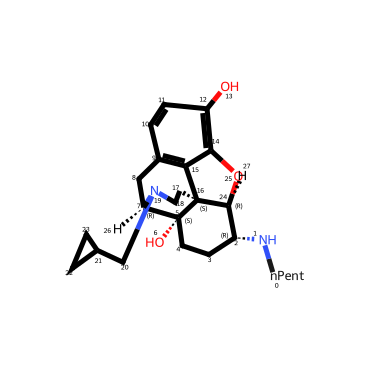 CCCCCN[C@@H]1CC[C@@]2(O)[C@H]3Cc4ccc(O)c5c4[C@@]2(CCN3CC2CC2)[C@H]1O5